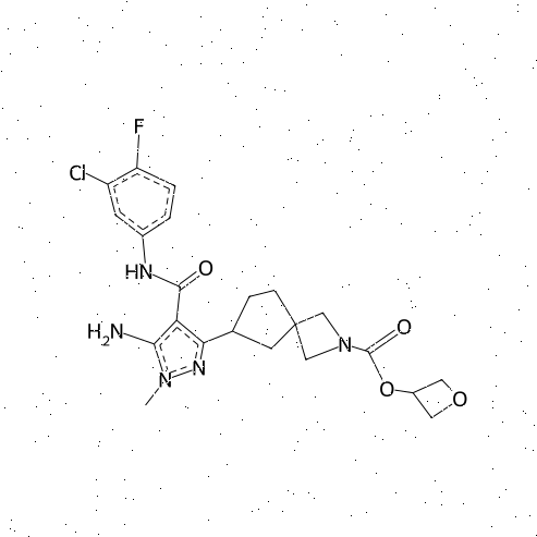 Cn1nc(C2CCC3(C2)CN(C(=O)OC2COC2)C3)c(C(=O)Nc2ccc(F)c(Cl)c2)c1N